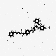 O=C(NCCCCc1ccccc1)c1ccc(-c2nc(CN(Cc3ccc(O)cc3)C(=O)C3CCCCC3)cs2)cc1